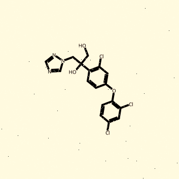 OCC(O)(Cn1cncn1)c1ccc(Oc2ccc(Cl)cc2Cl)cc1Cl